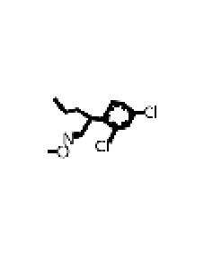 CCCC(C=NOC)c1ccc(Cl)cc1Cl